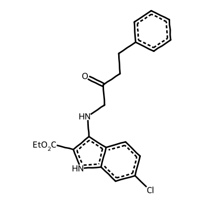 CCOC(=O)c1[nH]c2cc(Cl)ccc2c1NCC(=O)CCc1ccccc1